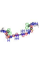 C[C@@H]1CN([C@H]2Cc3c(Cl)cc(Cl)cc3[C@@H]2Oc2ccc([S+]([O-])N[C@H]3CCN(CCOCCNC(=O)NCCCCNC(=O)NCCOCCN4CC[C@H](NS(=O)(=O)c5ccc(O[C@H]6c7cc(Cl)cc(Cl)c7C[C@@H]6N6CCN[C@H](C)C6)cc5)C4)C3)cc2)CCN1